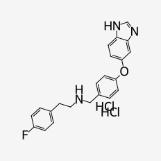 Cl.Cl.Fc1ccc(CCNCc2ccc(Oc3ccc4[nH]cnc4c3)cc2)cc1